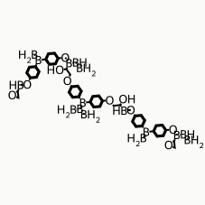 BBB(Oc1ccc(B(B)c2ccc(OBC3CO3)cc2)cc1)C(O)COc1ccc(B(B(B)B)c2ccc(OCC(O)BOc3ccc(B(B)c4ccc(OB(BB)C5CO5)cc4)cc3)cc2)cc1